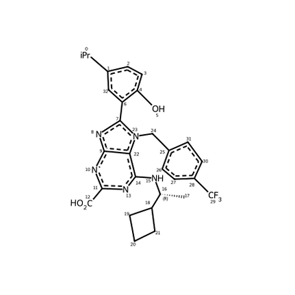 CC(C)c1ccc(O)c(-c2nc3nc(C(=O)O)nc(N[C@H](C)C4CCC4)c3n2Cc2ccc(C(F)(F)F)cc2)c1